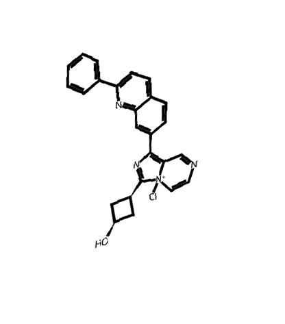 O[C@H]1C[C@@H](C2=NC(c3ccc4ccc(-c5ccccc5)nc4c3)=C3C=NC=C[N+]32Cl)C1